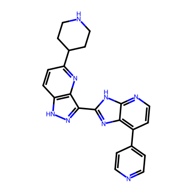 c1cc(-c2ccnc3[nH]c(-c4n[nH]c5ccc(C6CCNCC6)nc45)nc23)ccn1